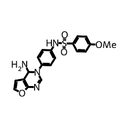 COc1ccc(S(=O)(=O)Nc2ccc(N3C=Nc4occc4C3N)cc2)cc1